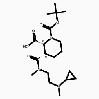 CN(CCN(C)C1CC1)C(=O)[C@H]1CCCN(C(=O)OC(C)(C)C)[C@H]1C(=O)O